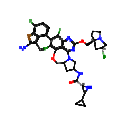 N#Cc1c(N)sc2c(F)ccc(-c3c(Cl)c4c5c(nc(OC[C@@]67CCCN6C[C@H](F)C7)nc5c3F)N3CC(NC(=O)[C@@H]5NC5C5CC5)CC3CO4)c12